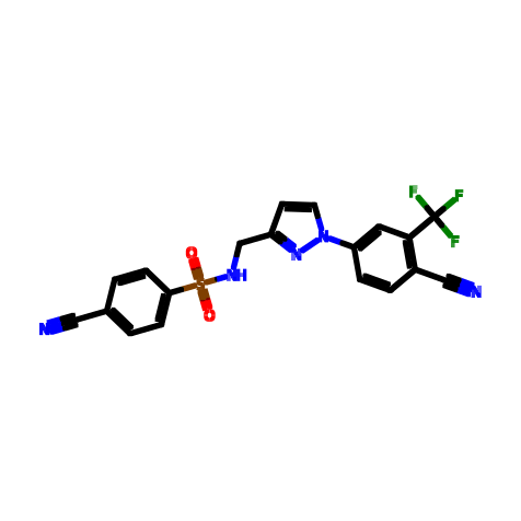 N#Cc1ccc(S(=O)(=O)NCc2ccn(-c3ccc(C#N)c(C(F)(F)F)c3)n2)cc1